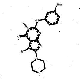 CCn1c(N2CCNCC2)nc2nc(Nc3cccc(SC)c3)n(C)c(=O)c21